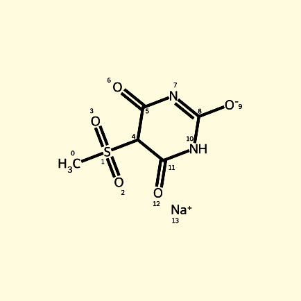 CS(=O)(=O)C1C(=O)N=C([O-])NC1=O.[Na+]